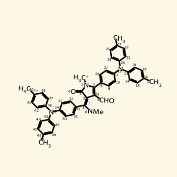 CN/C(=C1/C(=O)N(C)C(c2ccc(N(c3ccc(C)cc3)c3ccc(C)cc3)cc2)=C1C=O)c1ccc(N(c2ccc(C)cc2)c2ccc(C)cc2)cc1